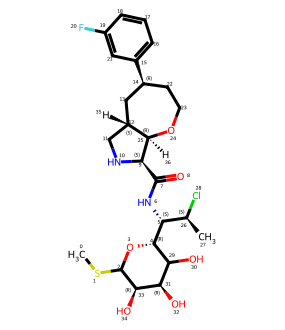 CSC1O[C@H]([C@H](NC(=O)[C@H]2NC[C@@H]3C[C@@H](c4cccc(F)c4)CCO[C@H]32)[C@H](C)Cl)C(O)[C@@H](O)[C@H]1O